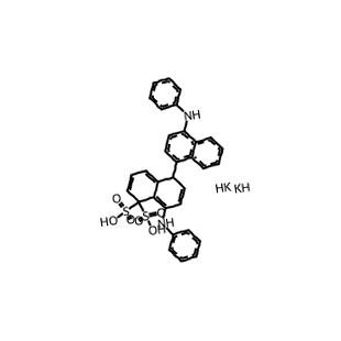 O=S(=O)(O)C1(S(=O)(=O)O)C=CC=C2C1=C(Nc1ccccc1)C=CC2c1ccc(Nc2ccccc2)c2ccccc12.[KH].[KH]